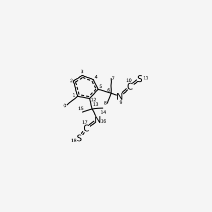 Cc1cccc(C(C)(C)N=C=S)c1C(C)(C)N=C=S